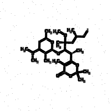 CO[C@](C)(C[C@@H](C)CI)[C@H](O[C@@H]1OC(C)CC(N(C)C)C1C)[C@H](C)C1=C(C)C(=O)OC(C)(C)O1